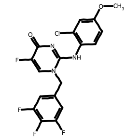 COc1ccc(Nc2nc(=O)c(F)cn2Cc2cc(F)c(F)c(F)c2)c(Cl)c1